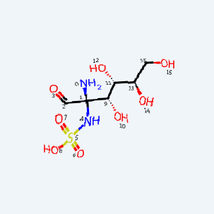 N[C@](C=O)(NS(=O)(=O)O)[C@@H](O)[C@H](O)[C@H](O)CO